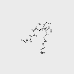 CCC/C=C/COCC[C@@H]1[C@@H](C/C=C\CCCC(=O)O)[C@H]2CC[C@@H]1O2